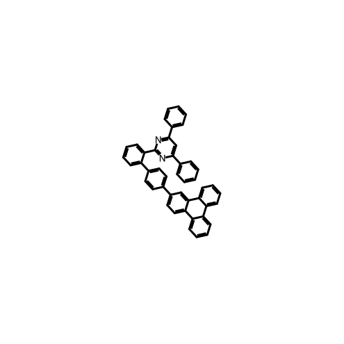 c1ccc(-c2cc(-c3ccccc3)nc(-c3ccccc3-c3ccc(-c4ccc5c6ccccc6c6ccccc6c5c4)cc3)n2)cc1